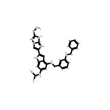 CSc1nn2cc(-c3cc4c(OCc5cccc(OCc6ccccc6)c5)cc(OC(F)F)cc4o3)nc2s1